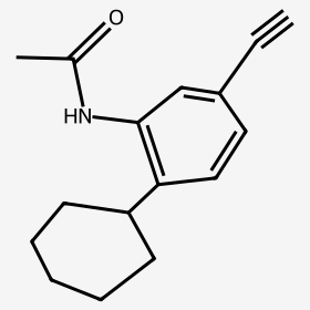 C#Cc1ccc(C2CCCCC2)c(NC(C)=O)c1